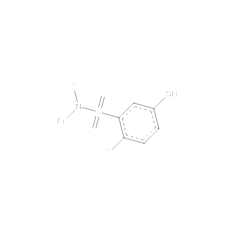 CCN(CC)S(=O)(=O)c1cc(N)ccc1F